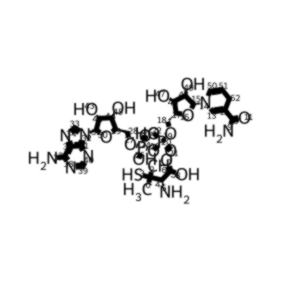 CC(C)(S)[C@@H](N)C(=O)O.NC(=O)C1=CN([C@@H]2O[C@H](COP(=O)(O)OP(=O)(O)OC[C@H]3O[C@@H](n4cnc5c(N)ncnc54)[C@H](O)[C@@H]3O)[C@@H](O)[C@H]2O)C=CC1